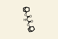 O=C(NC(=O)OC12CCC(CC1)C2)OC12CCC(CC1)C2